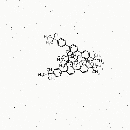 C[SiH](C)[Zr]([Cl])([Cl])([CH]1C(C(C)(C)C)=Cc2c(-c3ccc(C(C)(C)C)cc3)ccc(-c3ccc(C(C)(C)C)cc3)c21)[CH]1C(C(C)(C)C)=Cc2c(-c3ccc(C(C)(C)C)cc3)ccc(-c3ccc(C(C)(C)C)cc3)c21